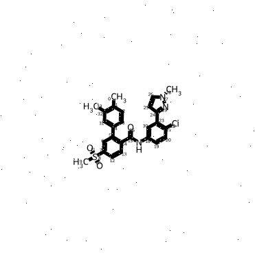 Cc1ccc(-c2cc(S(C)(=O)=O)ccc2C(=O)Nc2ccc(Cl)c(-c3ccn(C)n3)c2)cc1C